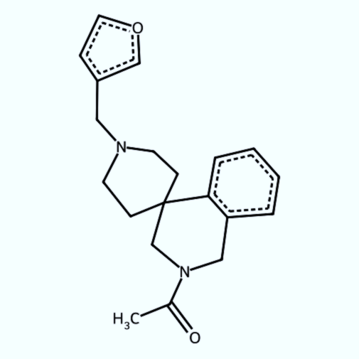 CC(=O)N1Cc2ccccc2C2(CCN(Cc3ccoc3)CC2)C1